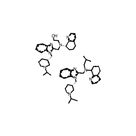 CC(C)CN(Cc1nc2ccccc2n1C[C@H]1CCCN(C(C)C)C1)C1CCCc2cccnc21.CC(C)N1CCC[C@H](Cn2c(CN(CCO)[C@H]3CCCc4cccnc43)nc3ccccc32)C1